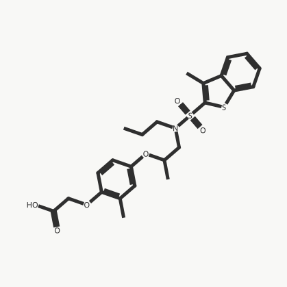 CCCN(CC(C)Oc1ccc(OCC(=O)O)c(C)c1)S(=O)(=O)c1sc2ccccc2c1C